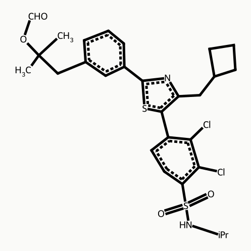 CC(C)NS(=O)(=O)c1ccc(-c2sc(-c3cccc(CC(C)(C)OC=O)c3)nc2CC2CCC2)c(Cl)c1Cl